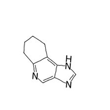 c1nc2cnc3c(c2[nH]1)CCCC3